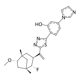 C=C(c1nnc(-c2ccc(-n3ccnc3)cc2O)s1)[C@@H]1C[C@]2(C)C[C@@](C)(C[C@@H]2OC)[C@H]1F